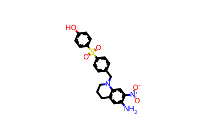 Nc1cc2c(cc1[N+](=O)[O-])N(Cc1ccc(S(=O)(=O)c3ccc(O)cc3)cc1)CCC2